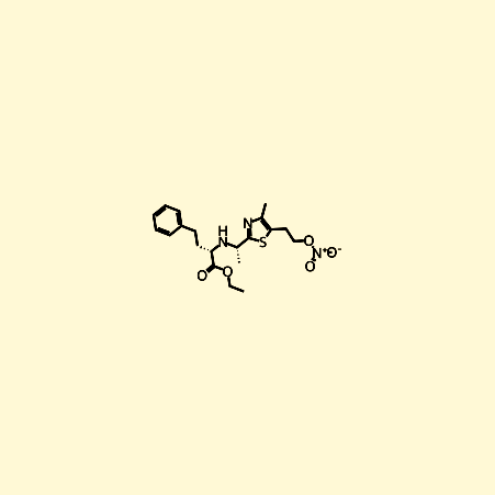 CCOC(=O)[C@H](CCc1ccccc1)N[C@@H](C)c1nc(C)c(CCO[N+](=O)[O-])s1